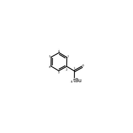 C=C(c1ccccc1)C(C)(C)C